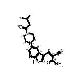 CC(C)CC(=O)N1CCN(c2cnc3[nH]cc(C=C(C#N)C(N)=O)c3c2)CC1